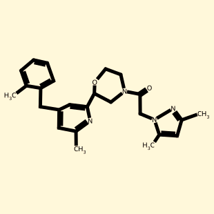 Cc1cc(Cc2ccccc2C)cc(C2CN(C(=O)Cn3nc(C)cc3C)CCO2)n1